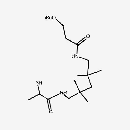 CC(C)COCCC(=O)NCC(C)(C)CC(C)(C)CNC(=O)C(C)S